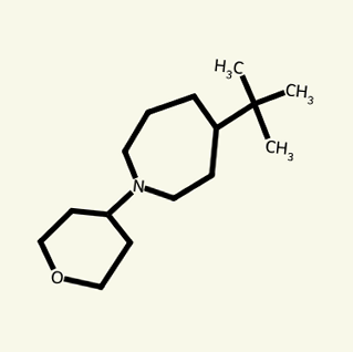 CC(C)(C)C1CCCN(C2CCOCC2)CC1